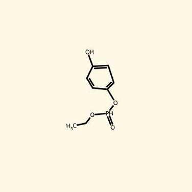 CCO[PH](=O)Oc1ccc(O)cc1